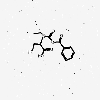 CCN(C(=O)OC(=O)c1ccccc1)C(CO)C(=O)O